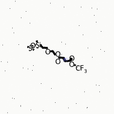 C[Si](C)(C)O[Si](C)(C)CCCOCCOC(=O)/C=C/C(=O)OCC(F)(F)F